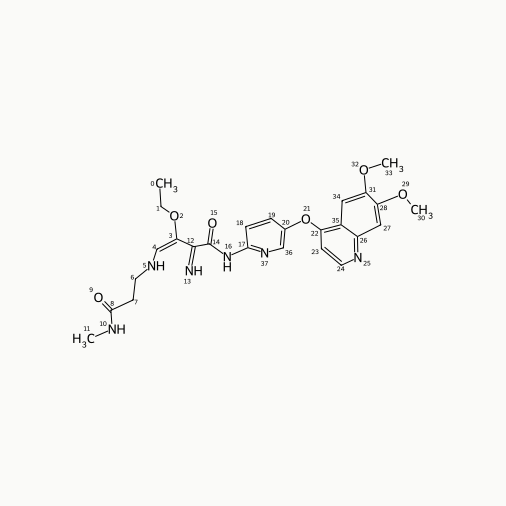 CCO/C(=C/NCCC(=O)NC)C(=N)C(=O)Nc1ccc(Oc2ccnc3cc(OC)c(OC)cc23)cn1